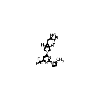 C[C@H]1CCN1c1nc(N2C[C@@H]3[C@@H](Cc4nnn[nH]4)[C@@H]3C2)cc(C(F)(F)F)n1